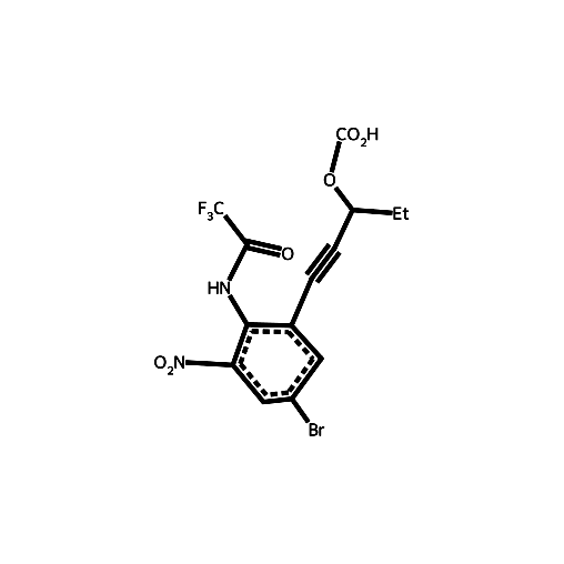 CCC(C#Cc1cc(Br)cc([N+](=O)[O-])c1NC(=O)C(F)(F)F)OC(=O)O